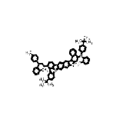 Cc1ccc(C(CCc2ccc3c4cc5cc6c(cc5cc4n4c5ccc(C(C)(C)C)cc5c2c34)sc2cc(N(c3ccc(C(C)(C)C)cc3)c3ccccc3C)c3ccccc3c26)c2ccccc2C)cc1